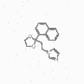 c1ccc2c(C3(CCn4ccnc4)OCCO3)cccc2c1